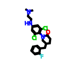 CN(C)CCNc1cc(Cl)c(N2CC(Cc3ccccc3F)CCC2=O)c(Cl)c1